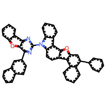 c1ccc(-c2cc3oc4c(ccc5c4c4ccccc4n5-c4nc(-c5ccc6ccccc6c5)c5oc6ccccc6c5n4)c3c3ccccc23)cc1